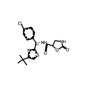 CC(C)(C)c1csc([C@@H](NC(=O)C2CNC(=O)O2)c2ccc(Cl)cc2)n1